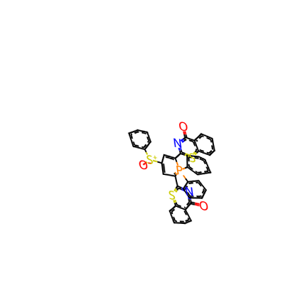 O=c1nc(C2=CC([S+]([O-])c3ccccc3)=CC(c3nc(=O)c4ccccc4s3)=P2(c2ccccc2)c2ccccc2)sc2ccccc12